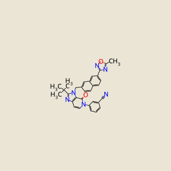 Cc1nc(-c2ccc3ccc(Cn4c(C(C)(C)C)nc5ccn(-c6cccc(C#N)c6)c(=O)c54)cc3c2)no1